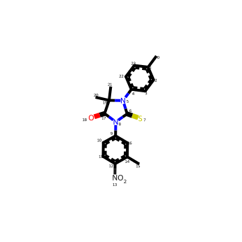 Cc1ccc(N2C(=S)N(c3ccc([N+](=O)[O-])c(C)c3)C(=O)C2(C)C)cc1